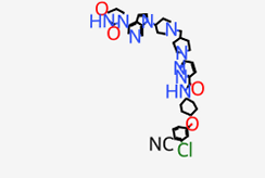 N#Cc1ccc(OC2CCC(NC(=O)c3ccc(N4CCC(CN5CCC(n6ccc7c(N8CCC(=O)NC8=O)cncc76)CC5)CC4)nn3)CC2)cc1Cl